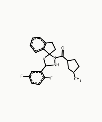 CC1CCC(C(=O)N2NC(c3cc(F)ccc3F)SC23CCc2ccccc23)C1